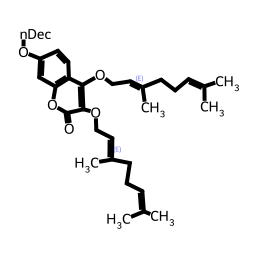 CCCCCCCCCCOc1ccc2c(OC/C=C(\C)CCC=C(C)C)c(OC/C=C(\C)CCC=C(C)C)c(=O)oc2c1